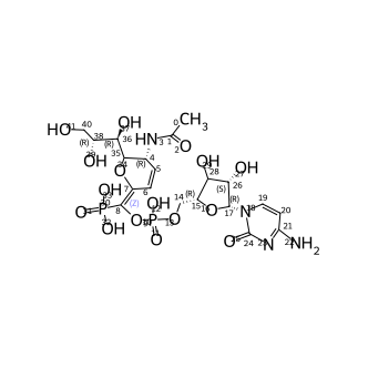 CC(=O)N[C@@H]1C=C/C(=C(\OP(=O)(O)OC[C@H]2O[C@@H](n3ccc(N)nc3=O)[C@@H](O)C2O)P(=O)(O)O)OC1[C@H](O)[C@H](O)CO